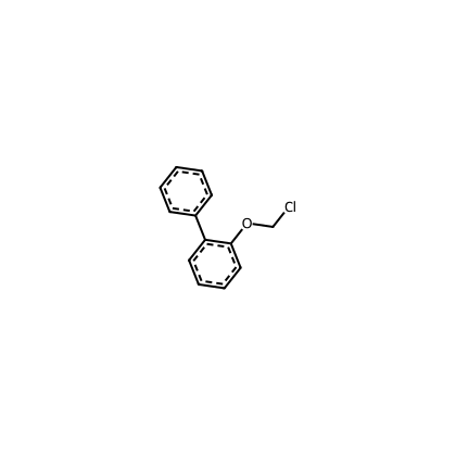 ClCOc1ccccc1-c1ccccc1